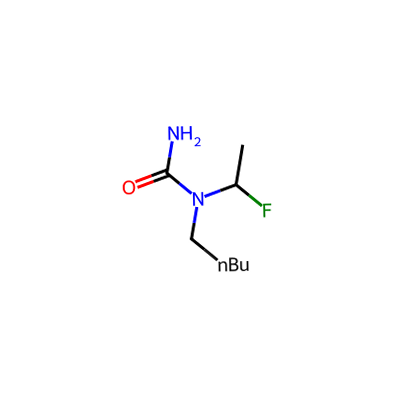 CCCCCN(C(N)=O)C(C)F